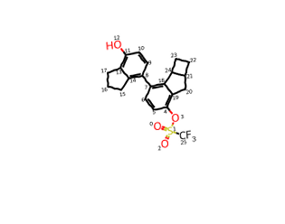 O=S(=O)(Oc1ccc(-c2ccc(O)c3c2CCC3)c2c1CC1CCC21)C(F)(F)F